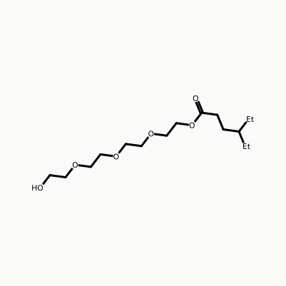 CCC(CC)CCC(=O)OCCOCCOCCOCCO